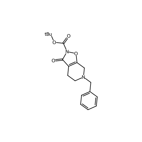 CC(C)(C)OC(=O)n1oc2c(c1=O)CCN(Cc1ccccc1)C2